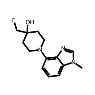 Cn1cnc2c(N3CCC(O)(CF)CC3)cccc21